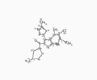 Cc1nc2sc(C(=O)N3CCC(C)C3)c(-c3cnn(C)c3)c2c(C)c1Cl